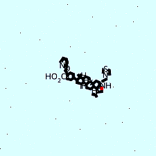 C=C(C)[C@@H]1CC[C@]2(NCCN3CCSCC3)CC[C@]3(C)[C@H](CC[C@@H]4[C@@H]5[C@@H](CC[C@]43C)C(C)(C)C(C3=CCC(COc4ccccn4)(C(=O)O)CC3)=C[C@@H]5C)[C@@H]12